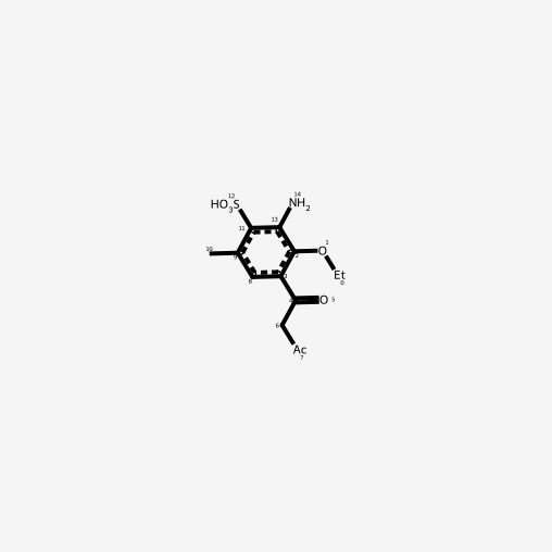 CCOc1c(C(=O)CC(C)=O)cc(C)c(S(=O)(=O)O)c1N